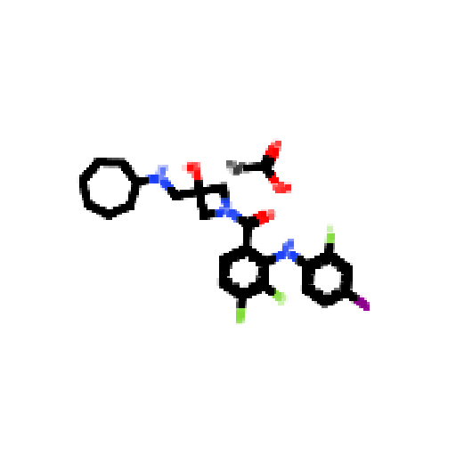 CC(=O)O.O=C(c1ccc(F)c(F)c1Nc1ccc(I)cc1F)N1CC(O)(CNC2CCCCCC2)C1